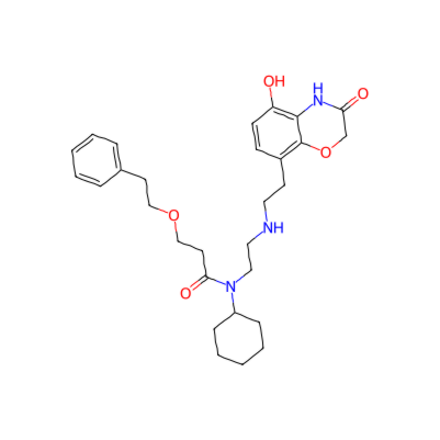 O=C1COc2c(CCNCCN(C(=O)CCOCCc3ccccc3)C3CCCCC3)ccc(O)c2N1